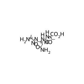 CC(O)[C@H](NC(=O)N[C@@H](CC(N)=O)c1nc([C@H](C)N)no1)C(=O)O